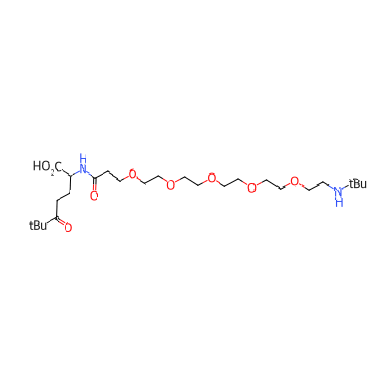 CC(C)(C)NCCOCCOCCOCCOCCOCCC(=O)NC(CCC(=O)C(C)(C)C)C(=O)O